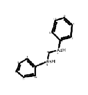 c1ccc([AsH]C[AsH]c2ccccc2)cc1